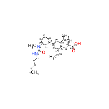 CCCCCNC(=O)N(C)c1cccc(-c2cc(CC)c(CC(C)C(=O)O)c(CC)c2)c1